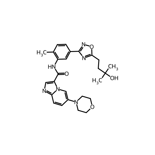 Cc1ccc(-c2noc(CCC(C)(C)O)n2)cc1NC(=O)c1cnc2ccc(N3CCOCC3)cn12